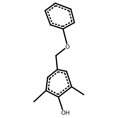 Cc1cc(COc2cc[c]cc2)cc(C)c1O